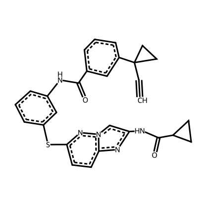 C#CC1(c2cccc(C(=O)Nc3cccc(Sc4ccc5nc(NC(=O)C6CC6)cn5n4)c3)c2)CC1